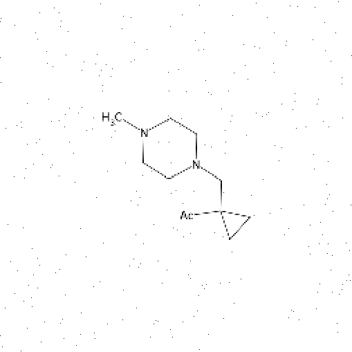 CC(=O)C1(CN2CCN(C)CC2)CC1